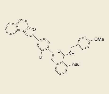 CCCCc1cccc(C=Cc2ccc(-c3cc4c(ccc5ccccc54)o3)cc2Br)c1C(=O)NCc1ccc(OC)cc1